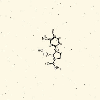 C[C@H]1C(C(N)=O)CCN1c1ccc(F)c(C#N)c1.Cl